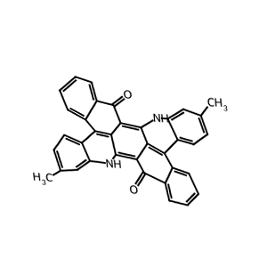 Cc1ccc2c(c1)[nH]c1c3c(=O)c4ccccc4c4c5ccc(C)cc5[nH]c(c5c(=O)c6ccccc6c2c15)c34